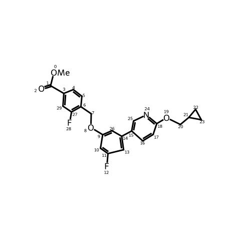 COC(=O)c1ccc(COc2cc(F)cc(-c3ccc(OCC4CC4)nc3)c2)c(F)c1